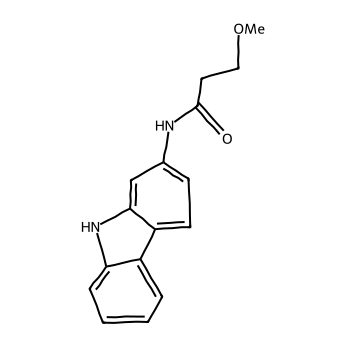 COCCC(=O)Nc1ccc2c(c1)[nH]c1ccccc12